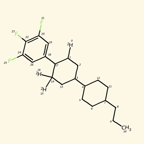 [2H]C1CC(C2CCC(CCC)CC2)CC([2H])([2H])C1c1cc(F)c(F)c(F)c1